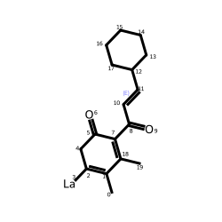 CC1=[C]([La])CC(=O)C(C(=O)/C=C/C2CCCCC2)=C1C